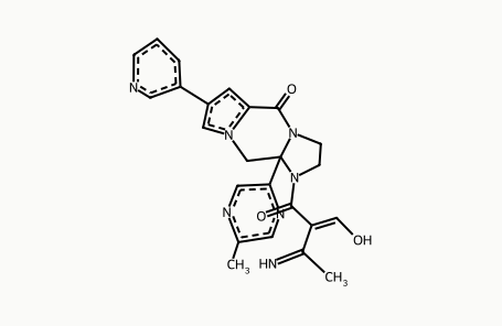 CC(=N)/C(=C\O)C(=O)N1CCN2C(=O)c3cc(-c4cccnc4)cn3CC12c1cnc(C)cn1